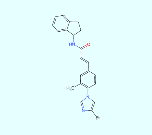 CCc1cn(-c2ccc(/C=C/C(=O)NC3CCc4ccccc43)cc2C)cn1